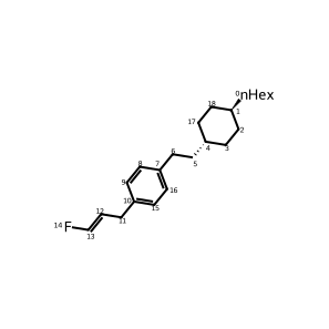 CCCCCC[C@H]1CC[C@H](CCc2ccc(CC=CF)cc2)CC1